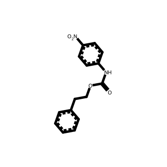 O=C(Nc1ccc([N+](=O)[O-])cc1)OCCc1ccccc1